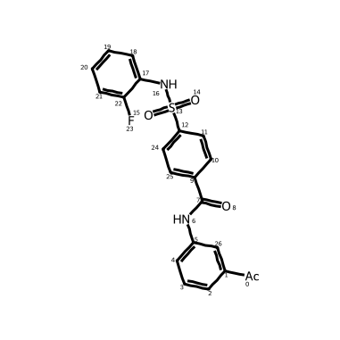 CC(=O)c1cccc(NC(=O)c2ccc(S(=O)(=O)Nc3ccccc3F)cc2)c1